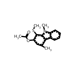 CSc1c(OC(C)=O)cc(C)c2c3ccccc3n(C)c12